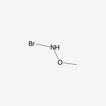 CONBr